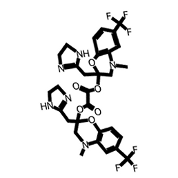 CN1CC(CC2=NCCN2)(OC(=O)C(=O)OC2(CC3=NCCN3)CN(C)c3cc(C(F)(F)F)ccc3O2)Oc2ccc(C(F)(F)F)cc21